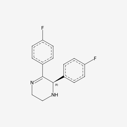 Fc1ccc(C2=NCCN[C@@H]2c2ccc(F)cc2)cc1